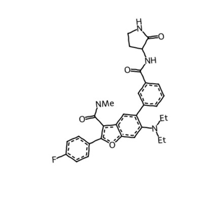 CCN(CC)c1cc2oc(-c3ccc(F)cc3)c(C(=O)NC)c2cc1-c1cccc(C(=O)NC2CCNC2=O)c1